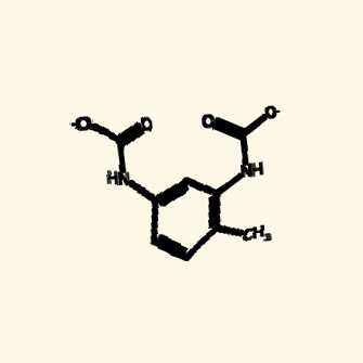 Cc1ccc(NC([O])=O)cc1NC([O])=O